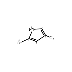 CC(C)c1cc(Cl)c[nH]1